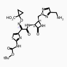 CC(C)(C)OC(=O)Nc1nc(/C(=N/OC2(C(=O)O)CC2)C(=O)N[C@@H]2C(=O)N[C@@H]2Cn2ncc(CN)n2)cs1